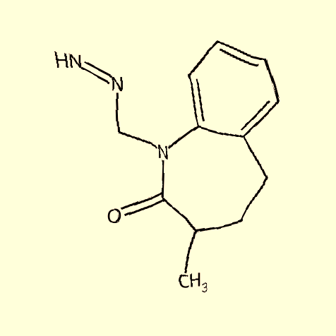 CC1CCc2ccccc2N(CN=N)C1=O